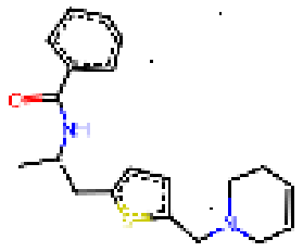 CC(Cc1ccc(CN2CC=CCC2)s1)NC(=O)c1ccccc1